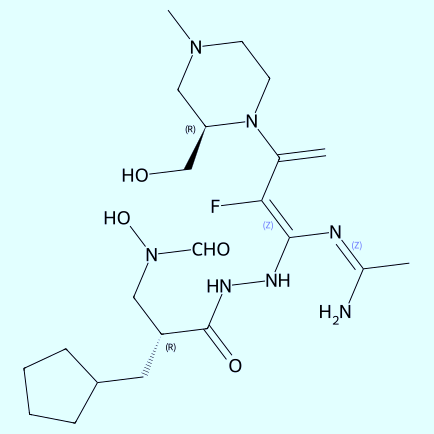 C=C(/C(F)=C(\N=C(\C)N)NNC(=O)[C@H](CC1CCCC1)CN(O)C=O)N1CCN(C)C[C@@H]1CO